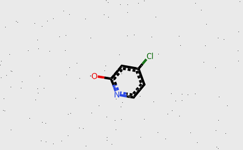 [O]c1cc(Cl)ccn1